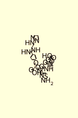 CC1(C)[C@H](NC(=O)/C(=N\O[C@@H](COc2ccc(C(=N)NCCNc3ncccn3)cc2)C(=O)O)c2csc(N)n2)C(=O)N1OS(=O)(=O)O